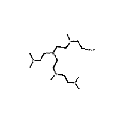 CNCCN(C)CCN(CCN(C)C)CCN(C)CCN(C)C